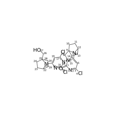 O=c1nc(Cl)cc2n1CC13CCC(CC1C[n+]1c(Cl)cc(N4C5CCC4(CO)CC5)nc1Cl)N23